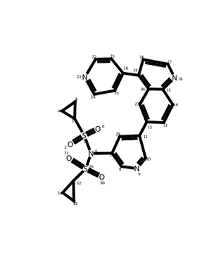 O=S(=O)(C1CC1)N(c1cncc(-c2ccc3nccc(-c4ccncc4)c3c2)c1)S(=O)(=O)C1CC1